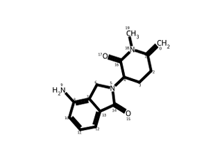 C=C1CCC(N2Cc3c(N)cccc3C2=O)C(=O)N1C